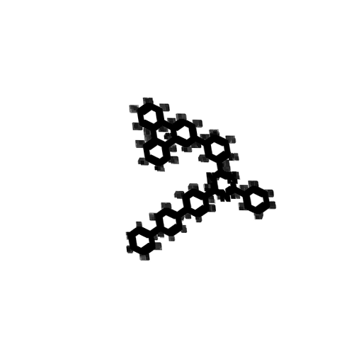 c1ccc(-c2ccc(-c3ccc(-c4nc(-c5ccccc5)nc(-c5cccc(-c6ccc7c8ccccc8c8ccccc8c7c6)c5)n4)cc3)cc2)cc1